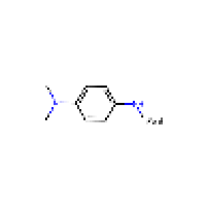 CCCCCNc1ccc(N(C)C)cc1